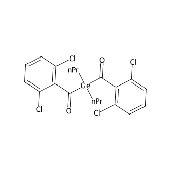 CC[CH2][Ge]([CH2]CC)([C](=O)c1c(Cl)cccc1Cl)[C](=O)c1c(Cl)cccc1Cl